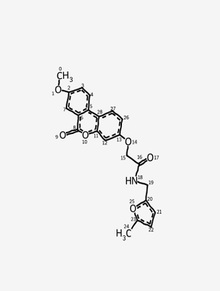 COc1ccc2c(c1)c(=O)oc1cc(OCC(=O)NCc3ccc(C)o3)ccc12